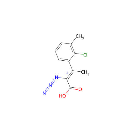 C/C(=C(/N=[N+]=[N-])C(=O)O)c1cccc(C)c1Cl